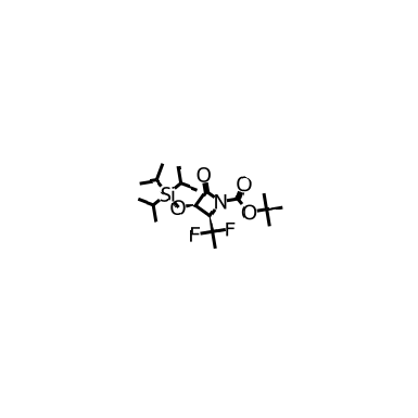 CC(C)[Si](O[C@H]1C(=O)N(C(=O)OC(C)(C)C)[C@H]1C(C)(F)F)(C(C)C)C(C)C